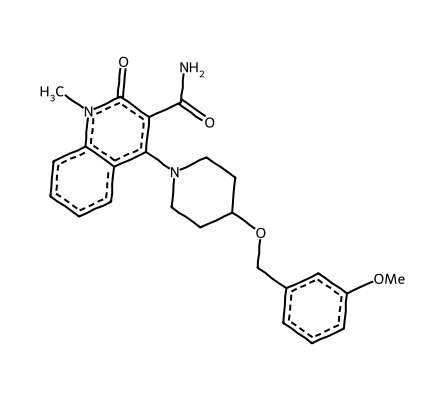 COc1cccc(COC2CCN(c3c(C(N)=O)c(=O)n(C)c4ccccc34)CC2)c1